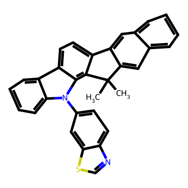 CC1(C)c2cc3ccccc3cc2-c2ccc3c4ccccc4n(-c4ccc5ncsc5c4)c3c21